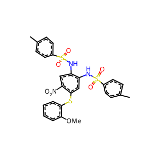 COc1ccccc1Sc1cc(NS(=O)(=O)c2ccc(C)cc2)c(NS(=O)(=O)c2ccc(C)cc2)cc1[N+](=O)[O-]